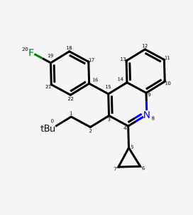 CC(C)(C)CCc1c(C2CC2)nc2ccccc2c1-c1ccc(F)cc1